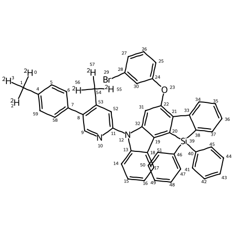 [2H]C([2H])([2H])c1ccc(-c2cnc(-n3c4ccccc4c4c5c(c(Oc6cccc(Br)c6)cc43)-c3ccccc3[Si]5(c3ccccc3)c3ccccc3)cc2C([2H])([2H])[2H])cc1